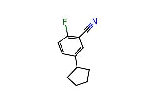 N#Cc1cc(C2CCCC2)ccc1F